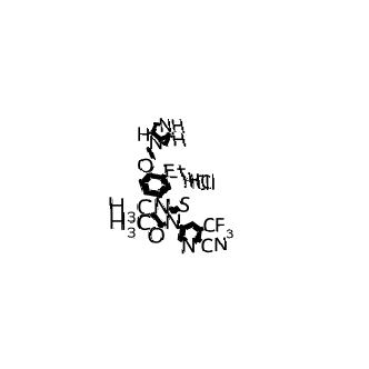 CCc1cc(N2C(=S)N(c3cnc(C#N)c(C(F)(F)F)c3)C(=O)C2(C)C)ccc1OCCN1C[C@@H]2C[C@H]1CN2.Cl.Cl